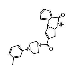 Cc1cccc(N2CCN(C(=O)c3cc4[nH]c(=O)c5ccccc5n4c3)CC2)c1